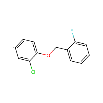 Fc1ccccc1COc1cc[c]cc1Cl